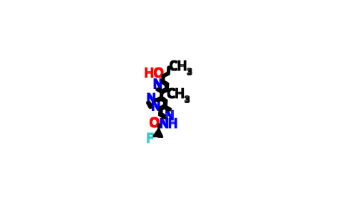 CCC[C@H](O)c1cc(C)c(-c2cc3cnc(NC(=O)[C@H]4C[C@H]4F)cc3n3ccnc23)cn1